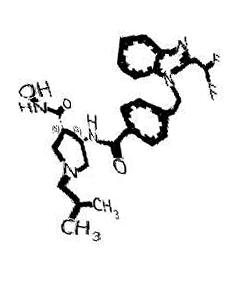 CC(C)CN1C[C@H](C(=O)NO)[C@H](NC(=O)c2ccc(Cn3c(C(F)F)nc4ccccc43)cc2)C1